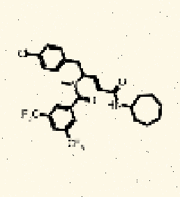 CN(C(=O)c1cc(C(F)(F)F)cc(C(F)(F)F)c1)C(C=CC(=O)NC1CCCCCC1)Cc1ccc(Cl)cc1